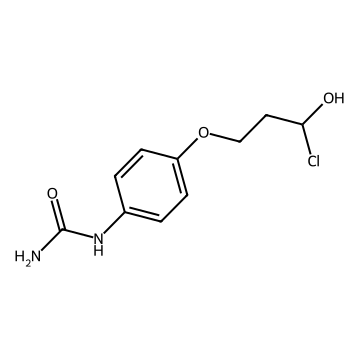 NC(=O)Nc1ccc(OCCC(O)Cl)cc1